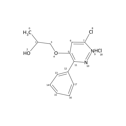 CC(O)COc1cc(Cl)nnc1-c1ccccc1.Cl